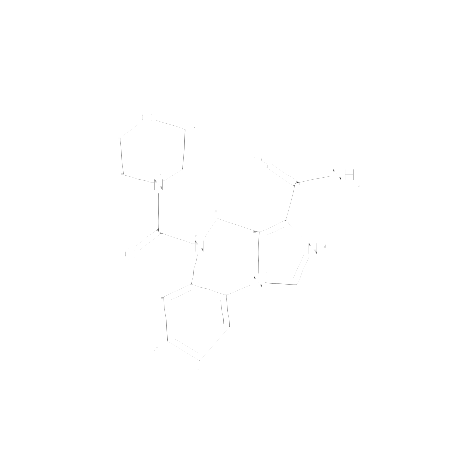 NC(=S)c1ncn2c1CN(C(=O)N1CCOCC1)c1ccccc1-2